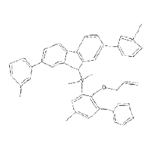 C=CCOc1c(-c2ccccc2)cc(C)cc1[Si](C)(C)C1c2cc(-c3cccc(C)c3)ccc2-c2ccc(-c3cccc(C)c3)cc21